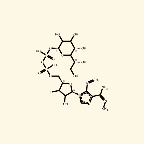 C=Nc1c(/C(N)=N\C)ncn1[C@@H]1O[C@H](COP(=O)(O)OP(=O)(O)O[C@@H]2OC([C@H](O)CO)[C@@H](O)C(O)C2O)C(F)C1O